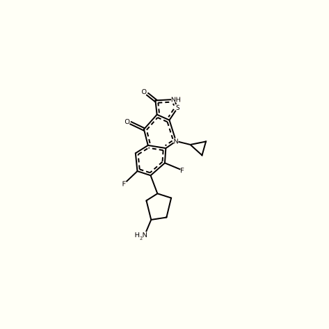 NC1CCC(c2c(F)cc3c(=O)c4c(=O)[nH]sc4n(C4CC4)c3c2F)C1